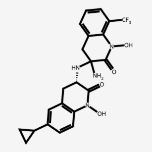 NC1(N[C@H]2Cc3cc(C4CC4)ccc3N(O)C2=O)Cc2cccc(C(F)(F)F)c2N(O)C1=O